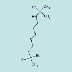 CCC(C)(CC)CCSSCCNC(C)(C)CC